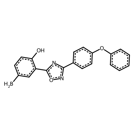 Bc1ccc(O)c(-c2nc(-c3ccc(Oc4ccccc4)cc3)no2)c1